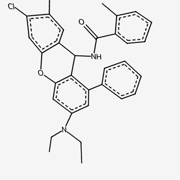 CCN(CC)c1cc2c(c(-c3ccccc3)c1)C(NC(=O)c1ccccc1C)c1cc(C)c(Cl)cc1O2